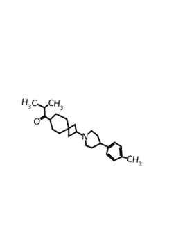 Cc1ccc(C2CCN(C3CC4(CCC(C(=O)C(C)C)CC4)C3)CC2)cc1